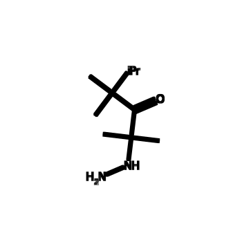 CC(C)C(C)(C)C(=O)C(C)(C)NN